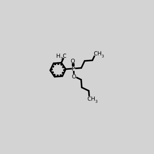 CCCCOP(=O)(CCCC)c1ccccc1C